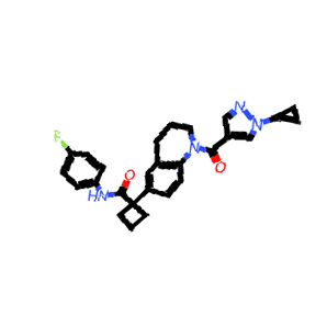 O=C(c1cnn(C2CC2)c1)N1CCCc2cc(C3(C(=O)Nc4ccc(F)cc4)CCC3)ccc21